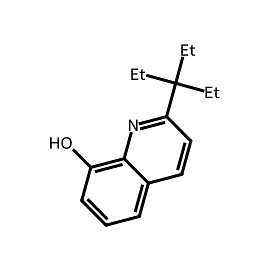 CCC(CC)(CC)c1ccc2cccc(O)c2n1